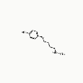 CCCCNCCCCOc1ccc(O)cc1